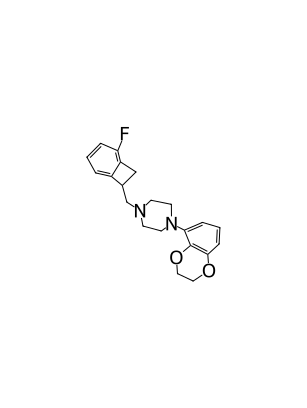 Fc1cccc2c1CC2CN1CCN(c2cccc3c2OCCO3)CC1